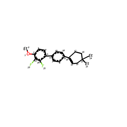 CCOc1ccc(-c2ccc(C3=CCC(CC)(CC)CC3)cc2)c(F)c1F